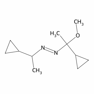 COC(C)(N=NC(C)C1CC1)C1CC1